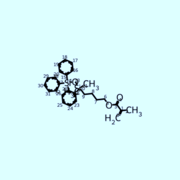 C=C(C)C(=O)OCCCC[Si](C)(C)O[Si](c1ccccc1)(c1ccccc1)c1ccccc1